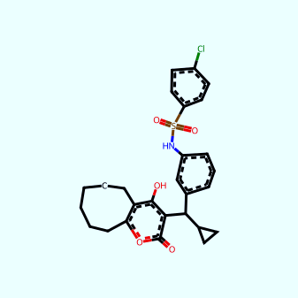 O=c1oc2c(c(O)c1C(c1cccc(NS(=O)(=O)c3ccc(Cl)cc3)c1)C1CC1)CCCCCC2